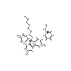 CCCCCCCC[B-](c1ccc(C)cc1)(c1ccc(C)cc1)c1ccc(C)cc1.CC[n+]1ccccc1